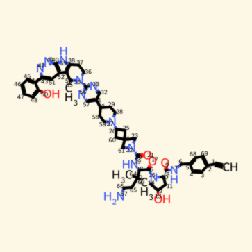 C#Cc1ccc(CNC(=O)[C@@H]2C[C@@H](O)CN2C(=O)C(NC(=O)N2CC3(CC(N4CCC(c5cnc(N6CCc7[nH]c8nnc(-c9ccccc9O)cc8c7[C@H]6C)nc5)CC4)C3)C2)C(C)(C)CCN)cc1